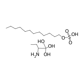 CCC(N)C(O)(O)O.CCCCCCCCCCCCOS(=O)(=O)O